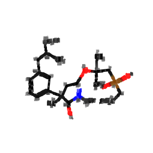 CCOC(=O)CS(=O)(=O)CC(C)(C)OCCC(C)(C(=O)NNC)c1cccc(CC(C)C(=O)OCC)c1